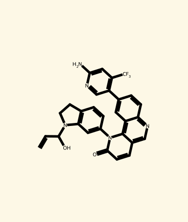 C=CC(O)N1CCc2ccc(-n3c(=O)ccc4cnc5ccc(-c6cnc(N)cc6C(F)(F)F)cc5c43)cc21